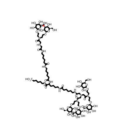 O=C(O)CCCCCNC(=O)C(CCCCNC(=O)CCCCCNC(=O)CN(CC(=O)N(CCO[C@H]1O[C@H](CO)[C@@H](O)[C@H](O)[C@@H]1O)CCO[C@H]1O[C@H](CO)[C@@H](O)[C@H](O)[C@@H]1O)CC(=O)N(CCO[C@H]1O[C@H](CO)[C@@H](O)[C@H](O)[C@@H]1O)CCO[C@H]1O[C@H](CO)[C@@H](O)[C@H](O)[C@@H]1O)NC(=O)CCCCCNC(=O)CCCCCNC(=O)CNCC(=O)N(CCO[C@H]1O[C@H](CO)[C@@H](O)[C@H](O)[C@@H]1O)CCO[C@H]1O[C@H](CO)[C@@H](O)[C@H](O)[C@@H]1O